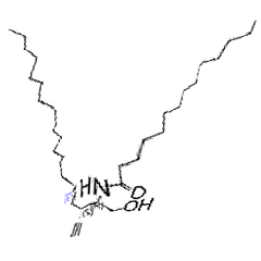 C#C[C@H](/C=C/CCCCCCCCCCCCC)[C@H](CO)NC(=O)CCCCCCCCCCCCC